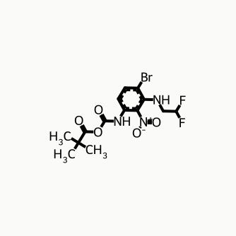 CC(C)(C)C(=O)OC(=O)Nc1ccc(Br)c(NCC(F)F)c1[N+](=O)[O-]